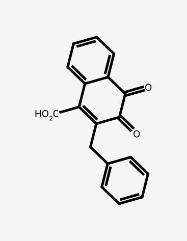 O=C(O)C1=C(Cc2ccccc2)C(=O)C(=O)c2ccccc21